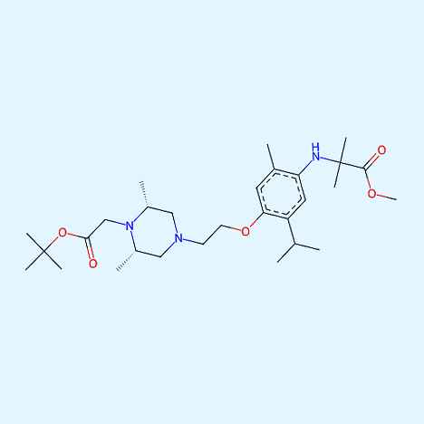 COC(=O)C(C)(C)Nc1cc(C(C)C)c(OCCN2C[C@@H](C)N(CC(=O)OC(C)(C)C)[C@@H](C)C2)cc1C